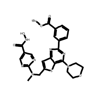 CN(Cc1cc2nc(-c3cccc(C(=O)OC(C)(C)C)c3)nc(N3CCOCC3)c2s1)c1ncc(C(=O)NO)cn1